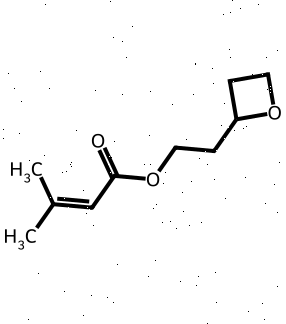 CC(C)=CC(=O)OCCC1CCO1